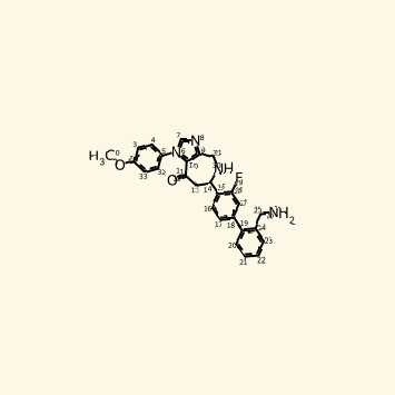 COc1ccc(-n2cnc3c2C(=O)CC(c2ccc(-c4ccccc4CN)cc2F)NC3)cc1